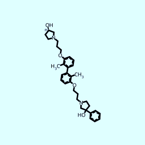 Cc1c(OCCCN2CC[C@@H](O)C2)cccc1-c1cccc(OCCCN2CCC(O)(c3ccccc3)C2)c1C